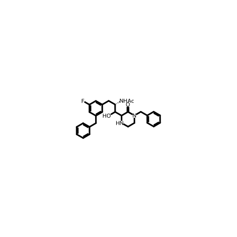 CC(=O)N[C@@H](Cc1cc(F)cc(Cc2ccccc2)c1)C(O)C1NCCN(Cc2ccccc2)C1=O